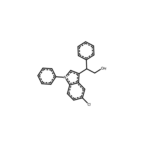 OCC(c1ccccc1)c1cn(-c2ccccc2)c2ccc(Cl)cc12